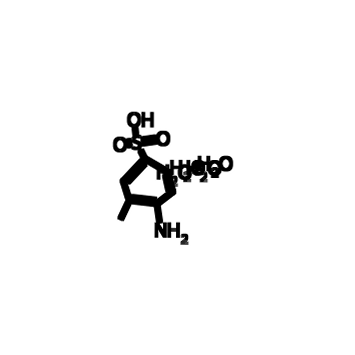 Cc1cc(S(=O)(=O)O)ccc1N.O.O.O.O